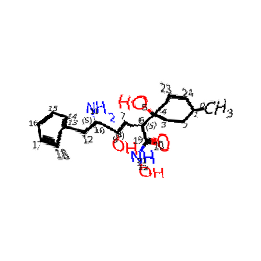 CC1CCC(O)([C@H](C[C@H](O)[C@@H](N)Cc2ccccc2)C(=O)NO)CC1